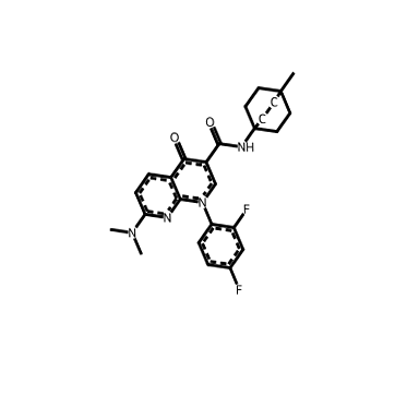 CN(C)c1ccc2c(=O)c(C(=O)NC34CCC(C)(CC3)CC4)cn(-c3ccc(F)cc3F)c2n1